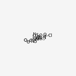 O=C(NC1CCCN(C(=O)CCCl)C1)[C@@H]1Sc2nccc3c2C1NC(=O)N3c1ccc(Oc2ccccc2)cn1